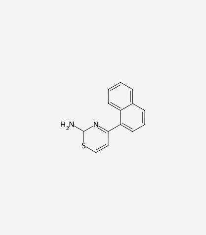 NC1N=C(c2cccc3ccccc23)C=CS1